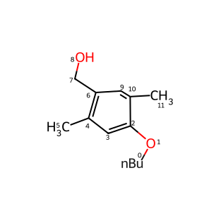 CCCCOc1cc(C)c(CO)cc1C